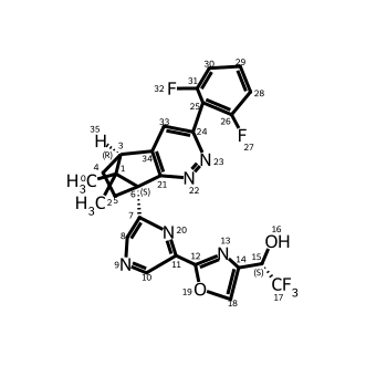 CC1(C)[C@H]2CC[C@]1(c1cncc(-c3nc([C@H](O)C(F)(F)F)co3)n1)c1nnc(-c3c(F)cccc3F)cc12